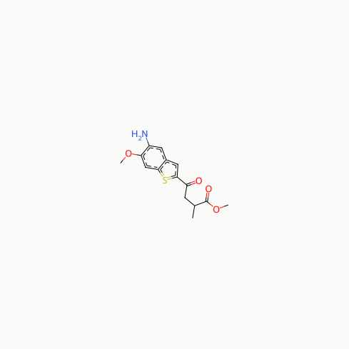 COC(=O)C(C)CC(=O)c1cc2cc(N)c(OC)cc2s1